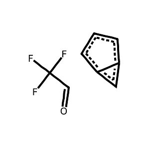 O=CC(F)(F)F.c1cc2cc-2c1